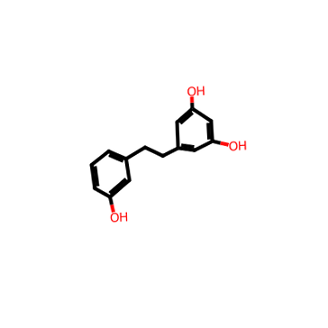 Oc1cccc(CCc2cc(O)cc(O)c2)c1